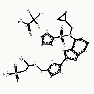 CC(CS(C)(=O)=O)NCc1cnc(-c2cc3cccc(N(CC4CC4)S(=O)(=O)c4cccs4)c3[nH]2)s1.O=C(O)C(F)(F)F